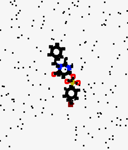 Cc1nc(OS(=O)(=O)c2ccc(Br)cc2)cc(=O)n1Cc1ccccc1